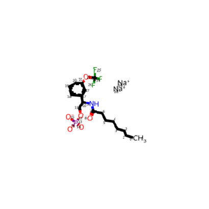 CCCCCCCC(=O)NC(COP(=O)([O-])[O-])c1cccc(OC(F)(F)F)c1.[Na+].[Na+]